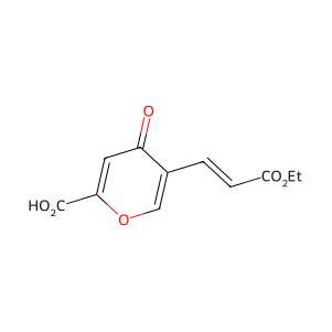 CCOC(=O)C=Cc1coc(C(=O)O)cc1=O